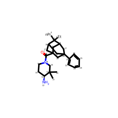 CCCC1(CC)C2CC3(C(=O)N4CC[C@H](N)C(C)(C)C4)CC1CC(c1ccccc1)(C2)C3